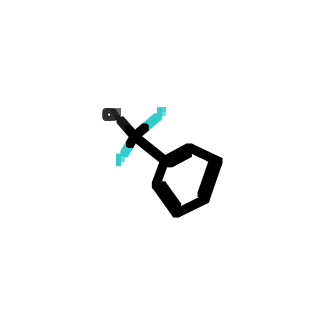 [C-]#[N+]C(F)(F)c1ccccc1